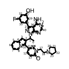 CC(c1cc2ccccn2c1-c1ccc(=O)n(CCN2CCCC2)n1)n1nc(-c2cc(O)cc(F)c2)c2c(N)ncnc21